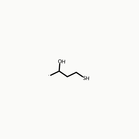 [CH2]C(O)CCS